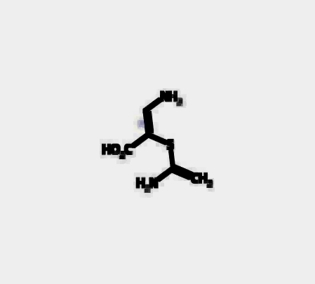 C=C(N)S/C(=C\N)C(=O)O